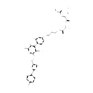 C[C@H](NC(=O)[C@H](COC(C)(C)C)NC(=O)OC(C)(C)C)C(=O)OC[CH]COc1ccc(-c2c(C#N)c(N)nc(SCc3coc(-c4ccc(Cl)cc4)n3)c2C#N)cc1